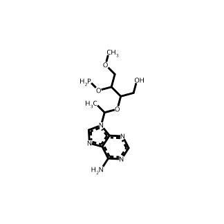 COCC(OP)C(CO)OC(C)n1cnc2c(N)ncnc21